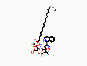 CCCCCCCCCCCCCCCC(=O)O[C@]1(CF)OC(=O)C[C@@H]1NC(=O)[C@]1(C(C)C)CC(c2nccc3ccccc23)=NO1